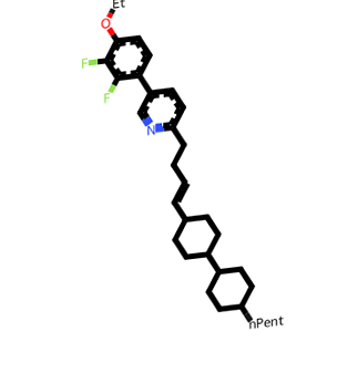 CCCCCC1CCC(C2CCC(/C=C/CCc3ccc(-c4ccc(OCC)c(F)c4F)cn3)CC2)CC1